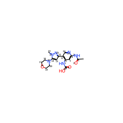 CC(=O)Nc1cc(NC(=O)O)c(-c2cc(N3CCOCC3)n(C)n2)cn1